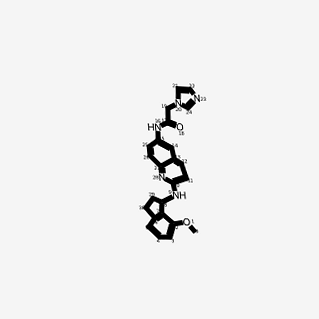 COc1cccc2c1C(Nc1ccc3cc(NC(=O)Cn4ccnc4)ccc3n1)CC2